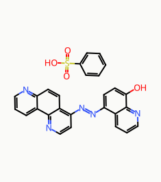 O=S(=O)(O)c1ccccc1.Oc1ccc(N=Nc2ccnc3c2ccc2ncccc23)c2cccnc12